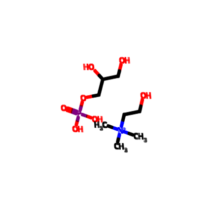 C[N+](C)(C)CCO.O=P(O)(O)OCC(O)CO